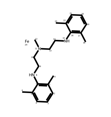 Cc1cccc(C)c1NCCN(C)CCNc1c(C)cccc1C.[Fe]